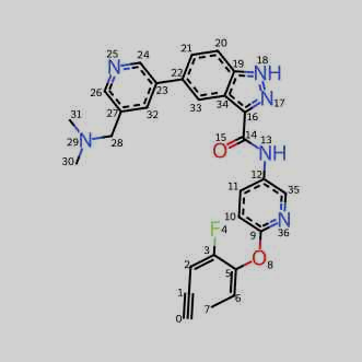 C#C/C=C(F)\C(=C/C)Oc1ccc(NC(=O)c2n[nH]c3ccc(-c4cncc(CN(C)C)c4)cc23)cn1